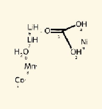 O.O=C(O)O.[Co].[LiH].[LiH].[Mn].[Ni]